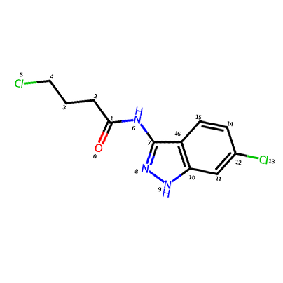 O=C(CCCCl)Nc1n[nH]c2cc(Cl)ccc12